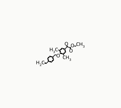 C=Cc1ccc(COc2c(C)cc(C(=O)C(=O)OCC)cc2C)cc1